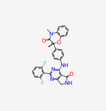 CN1C(=O)[C@@](C)(c2ccc(Nc3nc(-c4c(F)cccc4F)nc4c3C(=O)NC4)cc2)Oc2ccccc21